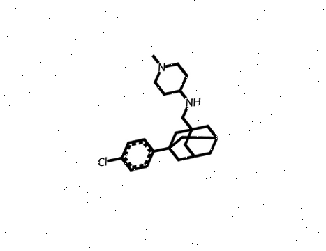 CN1CCC(NCC23CC4CC(C2)CC(c2ccc(Cl)cc2)(C4)C3)CC1